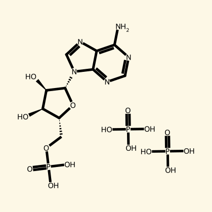 Nc1ncnc2c1ncn2[C@@H]1O[C@H](COP(=O)(O)O)[C@@H](O)[C@H]1O.O=P(O)(O)O.O=P(O)(O)O